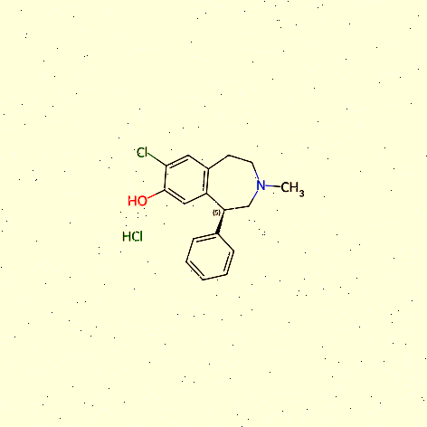 CN1CCc2cc(Cl)c(O)cc2[C@H](c2ccccc2)C1.Cl